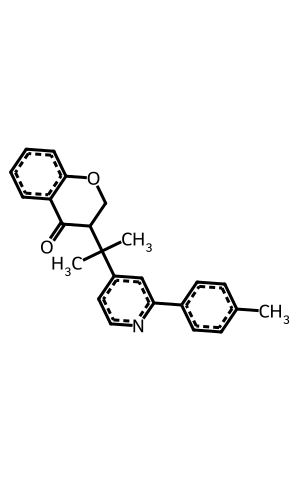 Cc1ccc(-c2cc(C(C)(C)C3COc4ccccc4C3=O)ccn2)cc1